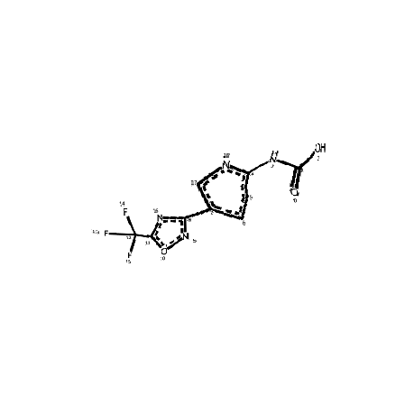 O=C(O)Nc1ccc(-c2noc(C(F)(F)F)n2)cn1